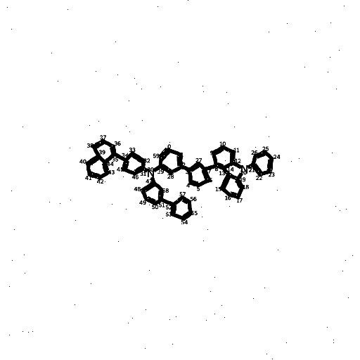 c1cc(-c2cccc(-c3cccc4c3c3ccccc3n4-c3ccccc3)c2)cc(N(c2ccc(-c3cccc4ccccc34)cc2)c2cccc(-c3ccccc3)c2)c#1